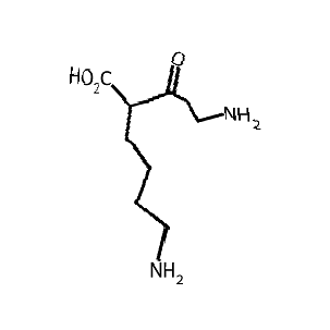 NCCCCC(C(=O)O)C(=O)CN